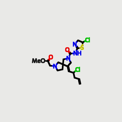 C=CCC(Cl)/C=C1\CN(C(=O)NC2=NCC(Cl)S2)CC12CCN(CC(=O)OC)C2